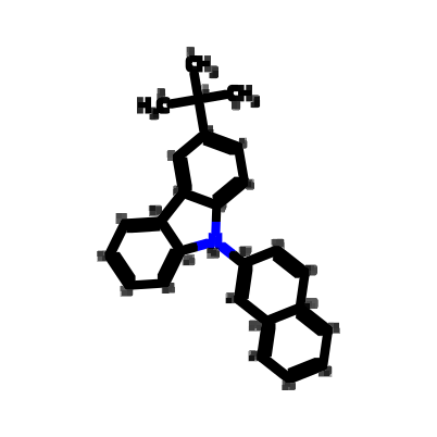 CC(C)(C)c1ccc2c(c1)c1ccccc1n2-c1ccc2ccccc2c1